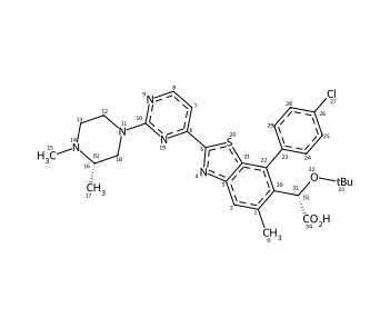 Cc1cc2nc(-c3ccnc(N4CCN(C)[C@@H](C)C4)n3)sc2c(-c2ccc(Cl)cc2)c1[C@H](OC(C)(C)C)C(=O)O